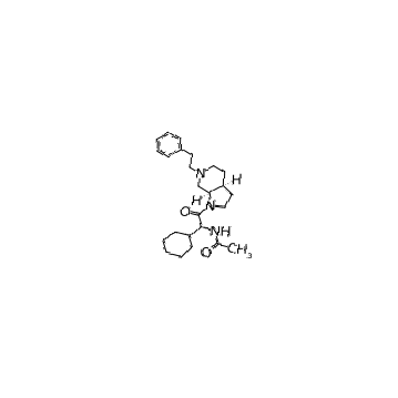 CC(=O)N[C@H](C(=O)N1CC[C@@H]2CCN(CCc3ccccc3)C[C@@H]21)C1CCCCC1